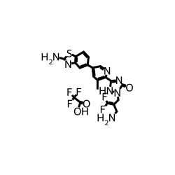 Cc1cc(-c2ccc3sc(N)nc3c2)cnc1-c1nc(=O)n(CC(CN)=C(F)F)[nH]1.O=C(O)C(F)(F)F